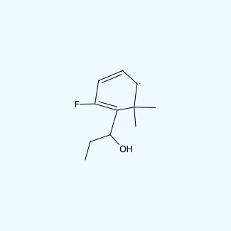 CCC(O)C1=C(F)C=C[CH]C1(C)C